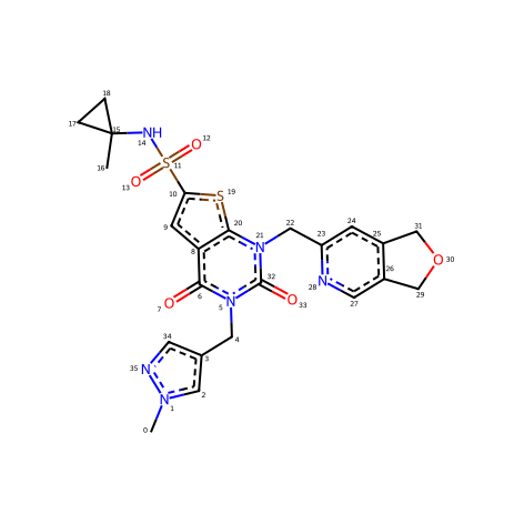 Cn1cc(Cn2c(=O)c3cc(S(=O)(=O)NC4(C)CC4)sc3n(Cc3cc4c(cn3)COC4)c2=O)cn1